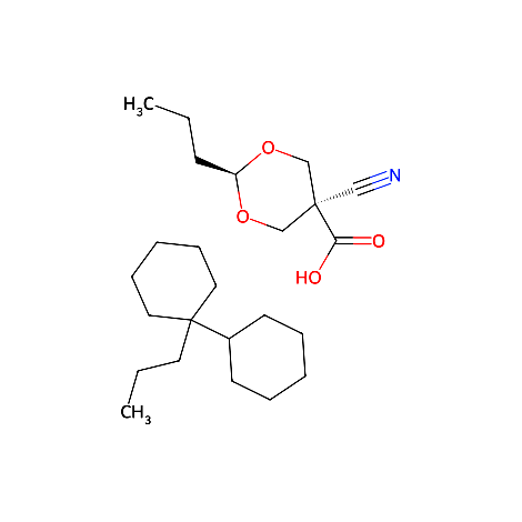 CCCC1(C2CCCCC2)CCCCC1.CCC[C@H]1OC[C@@](C#N)(C(=O)O)CO1